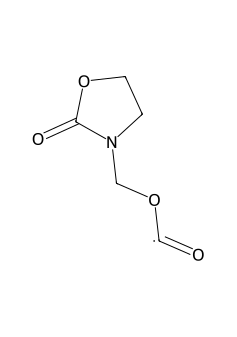 O=[C]OCN1CCOC1=O